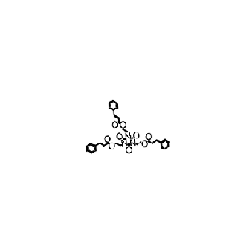 O=C(C=Cc1ccccc1)OCCn1c(=O)n(CCOC(=O)C=Cc2ccccc2)c(=O)n(CCOC(=O)C=Cc2ccccc2)c1=O